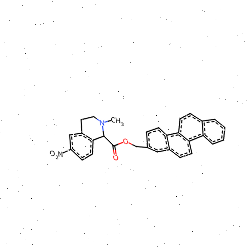 CN1CCc2cc([N+](=O)[O-])ccc2C1C(=O)OCc1ccc2c(ccc3c4ccccc4ccc23)c1